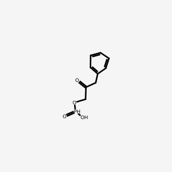 O=C(CO[PH](=O)O)Cc1ccccc1